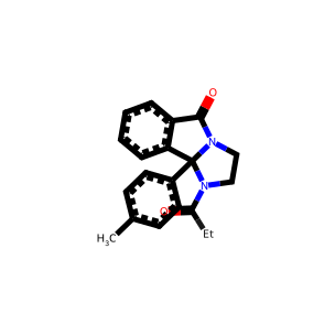 CCC(=O)N1CCN2C(=O)c3ccccc3C12c1ccc(C)cc1